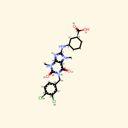 Cn1c(NC2CCC[C@H](C(=O)O)C2)nc2c1c(=O)n(Cc1ccc(Cl)c(Cl)c1)c(=O)n2C